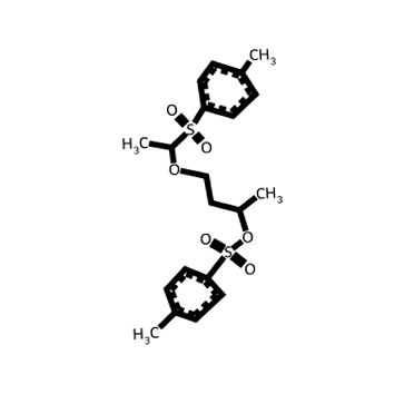 Cc1ccc(S(=O)(=O)OC(C)CCOC(C)S(=O)(=O)c2ccc(C)cc2)cc1